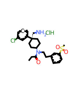 CCC(=O)N(CCc1cccc(S(C)(=O)=O)c1)[C@H]1CC[C@](CN)(c2cccc(Cl)c2)CC1.Cl